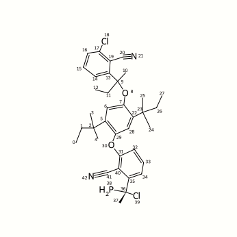 CCC(C)(C)c1cc(OC(C)(CC)c2cccc(Cl)c2C#N)c(C(C)(C)CC)cc1Oc1cccc([C@@](C)(P)Cl)c1C#N